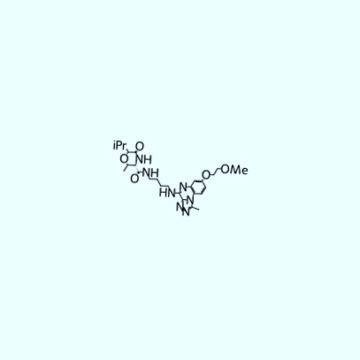 COCCOc1ccc2c(c1)nc(NCCCCNC(=O)[C@H]1NC(=O)[C@H](C(C)C)OC1C)c1nnc(C)n12